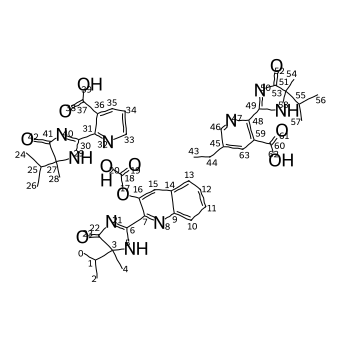 CC(C)C1(C)NC(c2nc3ccccc3cc2OC(=O)O)=NC1=O.CC(C)C1(C)NC(c2ncccc2C(=O)O)=NC1=O.CCc1cnc(C2=NC(=O)C(C)(C(C)C)N2)c(C(=O)O)c1